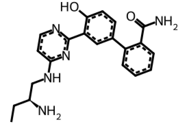 CC[C@H](N)CNc1ccnc(-c2cc(-c3ccccc3C(N)=O)ccc2O)n1